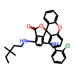 CCC(C)(C)CCNc1ccc(Nc2ccccc2Cl)c2c1C(=O)OC21c2ccccc2Oc2ccccc21